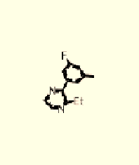 CCc1nccnc1-c1cc(C)cc(F)c1